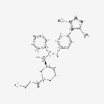 Cc1nnc(C)n1-c1ccc(O[C@H]2c3ccccc3C[C@@H]2N2CCCC(NCCC(F)(F)F)C2)cc1